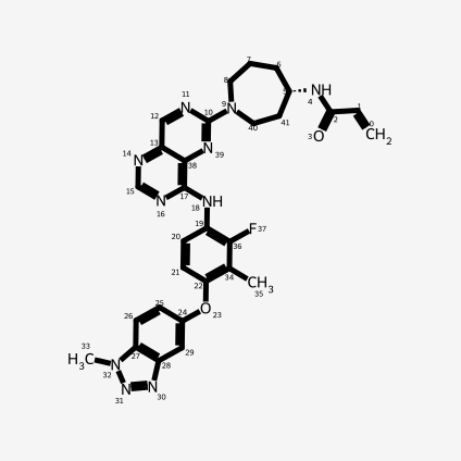 C=CC(=O)N[C@H]1CCCN(c2ncc3ncnc(Nc4ccc(Oc5ccc6c(c5)nnn6C)c(C)c4F)c3n2)CC1